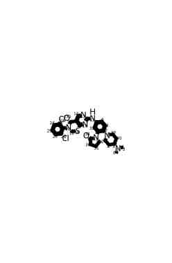 CN(C)C1CCN(c2ccc(Nc3ncc4c(n3)SCN(c3c(Cl)cccc3Cl)C4=O)cc2N2CCCC2=O)CC1